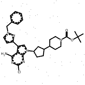 CC(C)(C)OC(=O)N1CCC(C2CCC(n3cc(-c4ccn(Cc5ccccc5)n4)c4c(N)nc(Cl)nc43)C2)CC1